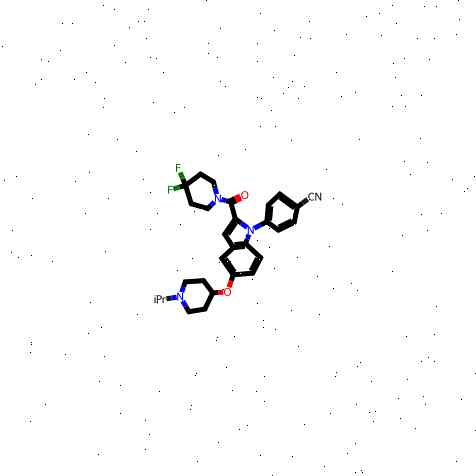 CC(C)N1CCC(Oc2ccc3c(c2)cc(C(=O)N2CCC(F)(F)CC2)n3-c2ccc(C#N)cc2)CC1